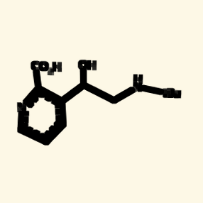 CC(C)(C)NCC(O)c1cccnc1C(=O)O